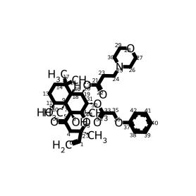 C=C[C@@]1(C)CC(=O)[C@]2(O)[C@@]3(C)[C@@H](O)CCC(C)(C)[C@@H]3[C@H](OC(=O)CCN3CCOCC3)[C@H](OC(=O)COc3ccccc3)[C@@]2(C)O1